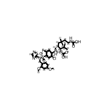 COc1ccc(CN(c2ncns2)S(=O)(=O)c2cc(Cl)c(NC[C@H](CC(C)(C)CCNC(=O)O)[C@H](NC(=O)O)C(C)C)cc2F)c(OC)c1